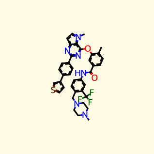 Cc1ccc(C(=O)Nc2ccc(CN3CCN(C)CC3)c(C(F)(F)F)c2)cc1Oc1nc(-c2ccc(-c3ccsc3)cc2)nc2ccn(C)c12